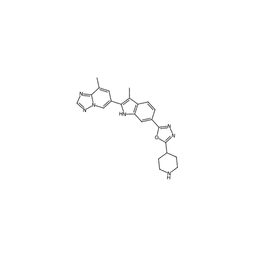 Cc1c(-c2cc(C)c3ncnn3c2)[nH]c2cc(-c3nnc(C4CCNCC4)o3)ccc12